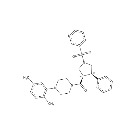 Cc1ccc(C)c(N2CCN(C(=O)[C@H]3CN(S(=O)(=O)c4cccnc4)C[C@H]3c3ccccc3)CC2)c1